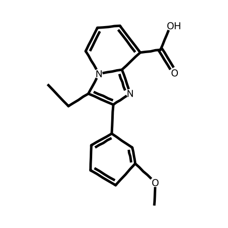 CCc1c(-c2cccc(OC)c2)nc2c(C(=O)O)cccn12